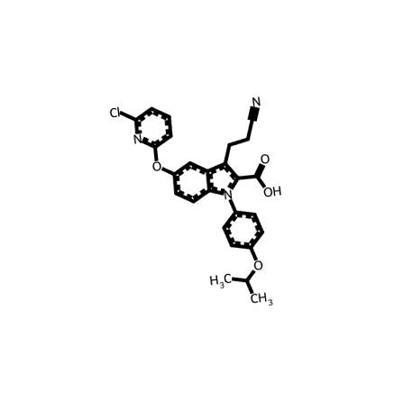 CC(C)Oc1ccc(-n2c(C(=O)O)c(CCC#N)c3cc(Oc4cccc(Cl)n4)ccc32)cc1